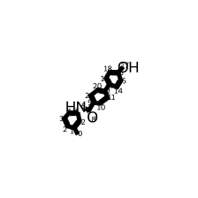 Cc1cccc(NC(=O)c2ccc(-c3ccc(O)cc3)cc2)c1